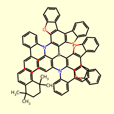 CC1(C)CCC(C)(C)c2c(-c3cc4c5c(c3)N(c3ccccc3-c3ccccc3)c3c(c6sc7ccccc7c6c6c3oc3ccccc36)B5c3c(c5oc6ccccc6c5c5c3oc3ccccc35)N4c3ccccc3-c3ccccc3)cccc21